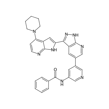 O=C(Nc1cncc(-c2cnc3[nH]nc(-c4cc5c(N6CCCCC6)ccnc5[nH]4)c3c2)c1)c1ccccc1